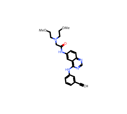 C#Cc1cccc(Nc2ncnc3ccc(NC(=O)CN(CCOC)CCOC)cc23)c1